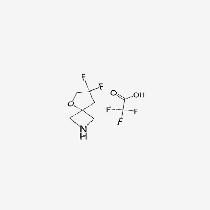 FC1(F)COC2(CNC2)C1.O=C(O)C(F)(F)F